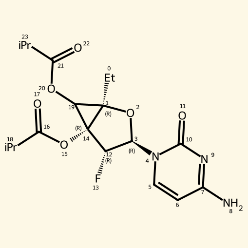 CC[C@]12O[C@@H](n3ccc(N)nc3=O)[C@H](F)[C@@]1(OC(=O)C(C)C)C2OC(=O)C(C)C